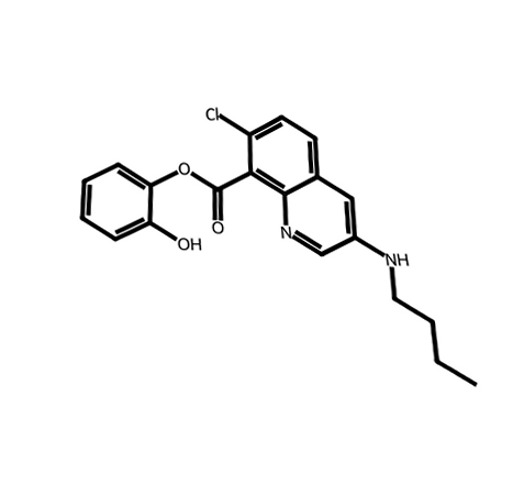 CCCCNc1cnc2c(C(=O)Oc3ccccc3O)c(Cl)ccc2c1